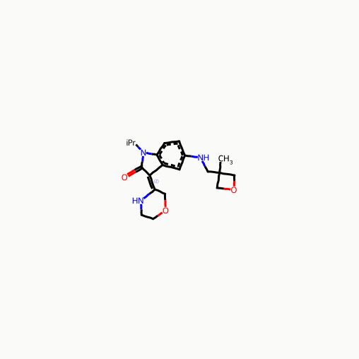 CC(C)N1C(=O)/C(=C2/COCCN2)c2cc(NCC3(C)COC3)ccc21